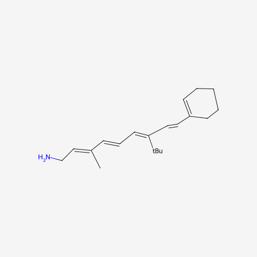 CC(/C=C/C=C(/C=C/C1=CCCCC1)C(C)(C)C)=C\CN